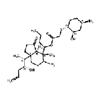 C=CC[C@@H](O)[C@H](C)[C@]12CCC(=O)[C@H]1[C@](C)([C@@H](CCC)OC(=O)CS[C@@H]1CC[C@@H](N)C[C@H]1O)C(C)CC2